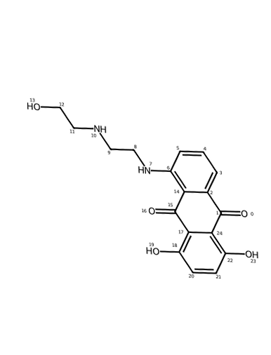 O=C1c2cccc(NCCNCCO)c2C(=O)c2c(O)ccc(O)c21